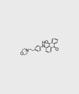 O=C1c2ccccc2C(=O)c2c(Nc3ccc(CCN4CCOCC4)cc3)cccc21